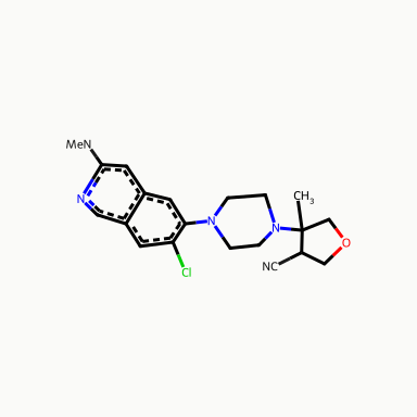 CNc1cc2cc(N3CCN(C4(C)COCC4C#N)CC3)c(Cl)cc2cn1